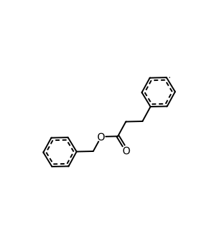 O=C(CCc1cc[c]cc1)OCc1ccccc1